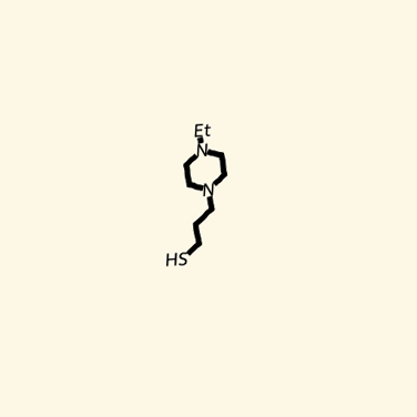 CCN1CCN(CCCS)CC1